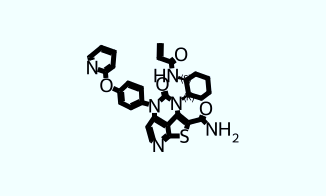 C=CC(=O)N[C@H]1CCCC[C@H]1N1C(=O)N(c2ccc(Oc3ccccn3)cc2)c2ccnc3sc(C(N)=O)c1c23